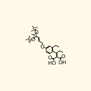 CCC(=C(C(=O)O)C(=O)O)c1ccc(OCC=C[Si](C)(O[Si](C)(C)C)O[Si](C)(C)C)cc1CC